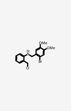 COc1cc(Br)c(CNc2ccccc2C[O])cc1OC